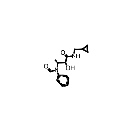 CC(C(O)C(=O)NCC1CC1)N(C=O)c1ccccc1